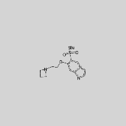 CC(C)(C)S(=O)(=O)c1cn2ccnc2cc1OCCN1CCC1